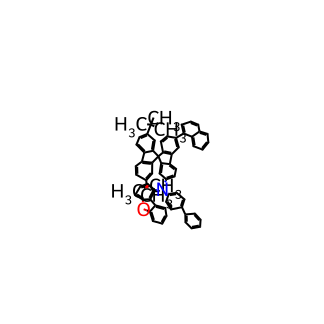 CC(C)(C)c1ccc2c(c1)C1(c3ccc(-c4cccc5ccccc45)cc3-c3ccc(N(c4ccc(-c5ccccc5)cc4)c4cccc5oc6ccccc6c45)cc31)c1cc(C(C)(C)C)ccc1-2